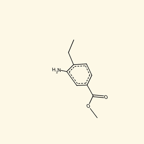 CCc1ccc(C(=O)OC)cc1N